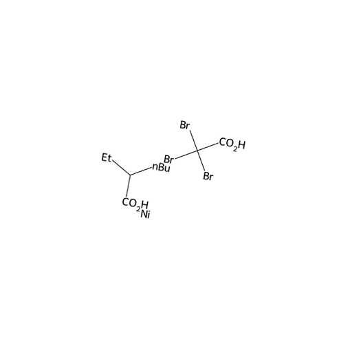 CCCCC(CC)C(=O)O.O=C(O)C(Br)(Br)Br.[Ni]